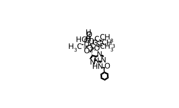 CC[C@H]1O[C@@H](c2cnn3c(NC(=O)c4ccccc4)ncnc23)[C@@H](O[Si](C)(C)C(C)(C)C)C1O[PH](=O)O